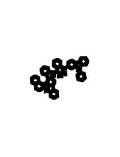 c1ccc(-n2c3ccccc3c3ccc(-c4nnc(-n5c6ccccc6c6c7c8c9ccccc9ccc8n8c9ccccc9c(cc65)c78)c5ccccc45)cc32)cc1